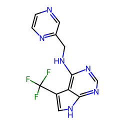 FC(F)(F)c1c[nH]c2ncnc(NCc3cnccn3)c12